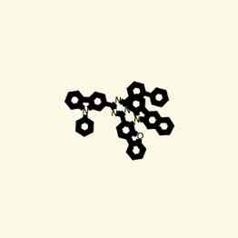 c1ccc(-c2cccc(-c3nc(-c4ccc5c6ccccc6n(-c6ccccc6)c5c4)nc(-c4ccc5c(oc6ccccc65)c4-n4c5ccccc5c5cc6ccccc6cc54)n3)c2)cc1